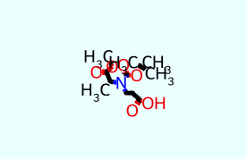 COC(=O)C(C)N(CCC(=O)O)C(=O)OC(C)(C)C